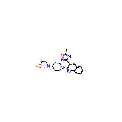 Cc1ccc2nc(N3CCC(NC[C@@H](C)O)CC3)c(-c3noc(C)n3)cc2c1